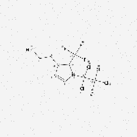 CCCN1N=CN(C(Cl)(Cl)C(Cl)(Cl)Cl)C1C(F)(F)F